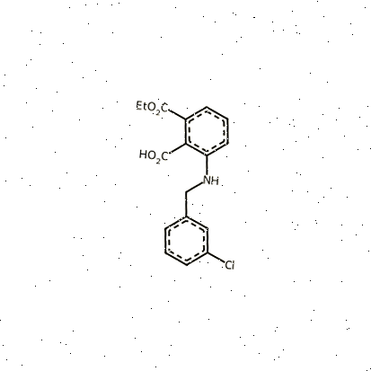 CCOC(=O)c1cccc(NCc2cccc(Cl)c2)c1C(=O)O